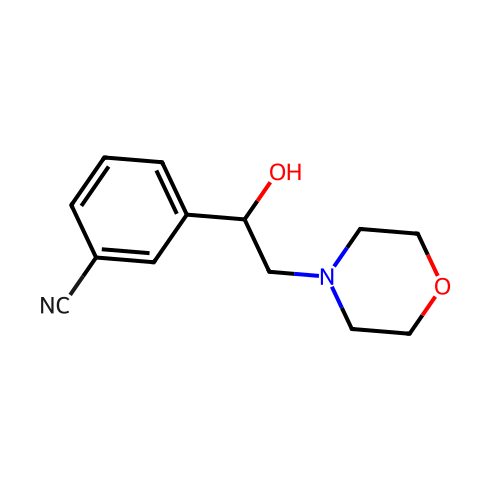 N#Cc1cccc(C(O)CN2CCOCC2)c1